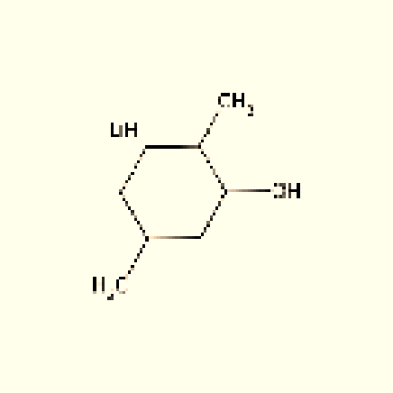 CC1CCC(C)C(O)C1.[LiH]